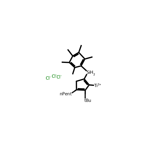 CCCCCC1=C(C(C)(C)C)[C]([Ti+3])=C([SiH2]c2c(C)c(C)c(C)c(C)c2C)C1.[Cl-].[Cl-].[Cl-]